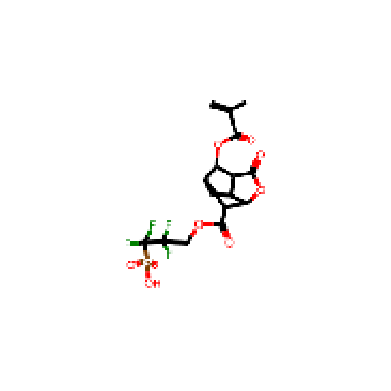 C=C(C)C(=O)OC1C2CC3C(OC(=O)C31)C2C(=O)OCC(F)(F)C(F)(F)S(=O)(=O)O